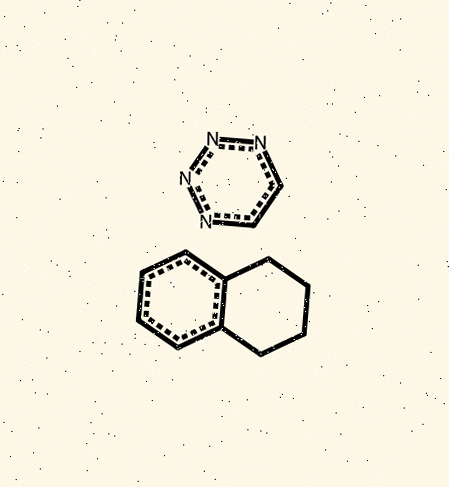 c1ccc2c(c1)CCCC2.c1cnnnn1